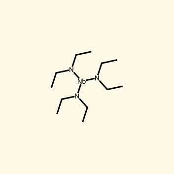 CC[N](CC)[Nb]([N](CC)CC)[N](CC)CC